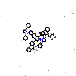 CC1(C)c2ccccc2-c2ccc(-c3cc(-n4c(-c5ccccc5)ccc4-c4ccccc4)c(-c4ccc5c(c4)C(C)(C)c4ccccc4-5)c4cc5ccc(-n6c(C7=CC=CCC7)ccc6C6C=CC=CC6)cc5cc34)cc21